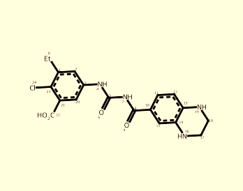 CCc1cc(NC(=O)NC(=O)c2ccc3c(c2)NCCN3)cc(C(=O)O)c1Cl